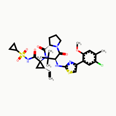 C=C[C@@H]1C[C@]1(NC(=O)[C@@H]1CCCN1C(=O)[C@@H](Nc1nc(-c2cc(Cl)c(C)cc2OC)cs1)C(C)(C)C)C(=O)NS(=O)(=O)C1CC1